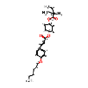 CCCCCCOc1ccc(/C=C/C(=O)O[C@H]2CC[C@H](OC(=O)C(C)(C)CC)CC2)cc1